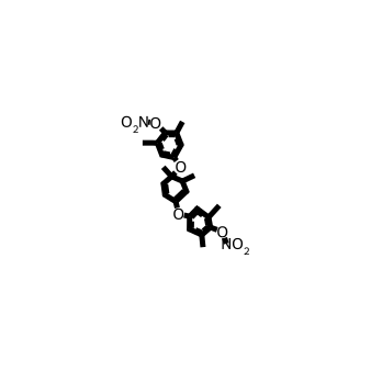 Cc1cc(OC2=CC(C)C(C)(Oc3cc(C)c(O[N+](=O)[O-])c(C)c3)C=C2)cc(C)c1O[N+](=O)[O-]